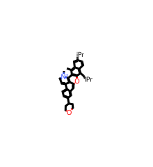 Cc1c2c(c(CC(C)C)c3ccc(C(C)C)cc13)Oc1cc3cc(C4CCOCC4)ccc3c3cc[n+](C)c-2c13